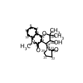 Cn1c(=O)c2c(c3ccccc31)OC(C)(C)C(O)C2N1CCCC1=O